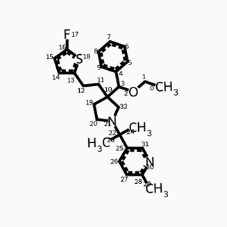 CCOC(c1ccccc1)C1(CCc2ccc(F)s2)CCN(C(C)(C)c2ccc(C)nc2)C1